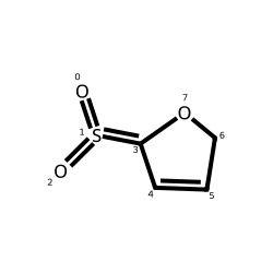 O=S(=O)=C1C=CCO1